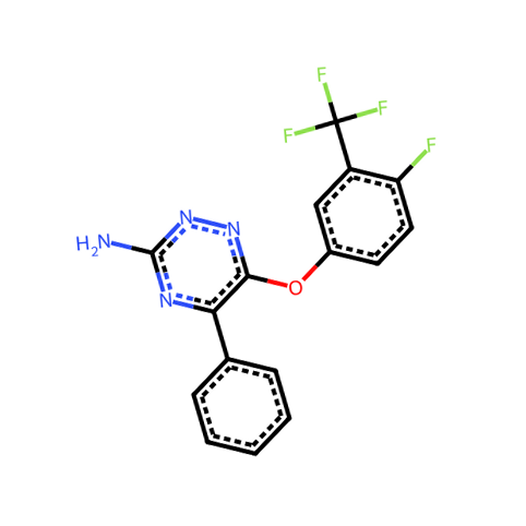 Nc1nnc(Oc2ccc(F)c(C(F)(F)F)c2)c(-c2ccccc2)n1